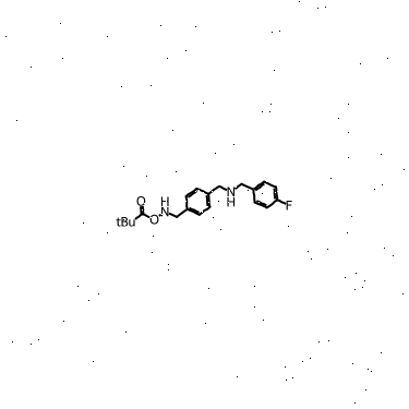 CC(C)(C)C(=O)ONCc1ccc(CNCc2ccc(F)cc2)cc1